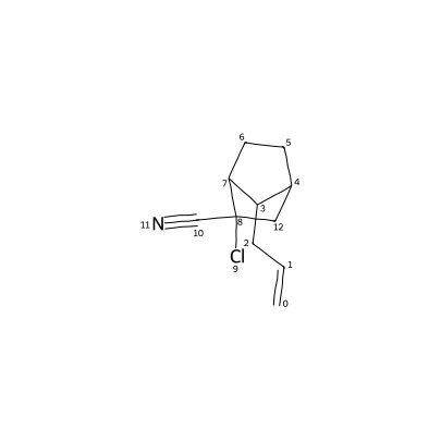 C=CCC1C2CCC1C(Cl)(C#N)C2